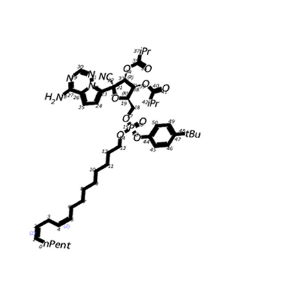 CCCCC/C=C\C/C=C\CCCCCCCCOP(=O)(OC[C@H]1O[C@@](C#N)(c2ccc3c(N)ncnn23)[C@H](OC(=O)C(C)C)[C@@H]1OC(=O)C(C)C)Oc1ccc(C(C)(C)C)cc1